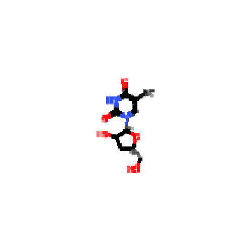 [C-]#[N+]c1cn([C@@H]2O[C@H](CO)CC2O)c(=O)[nH]c1=O